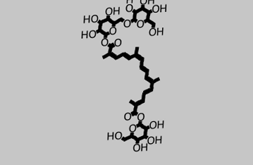 CC(C=CC=C(C)C(=O)OC1OC(CO)C(O)C(O)C1O)=CC=CC=C(C)C=CC=C(C)C(=O)OC1OC(COC2OC(CO)C(O)C(O)C2O)C(O)C(O)C1O